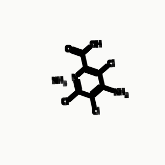 N.Nc1c(Cl)c(Cl)nc(C(=O)O)c1Cl